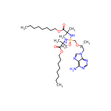 CCCCCCCCOC(=O)C(C)(C)NP(=O)(CO[C@H](C)Cn1cnc2c(N)ncnc21)NC(C)(C)C(=O)OCCCCCCCC